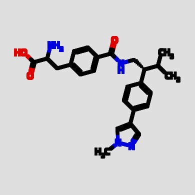 CC(C)[C@@H](CNC(=O)c1ccc(CC(N)C(=O)O)cc1)c1ccc(-c2cnn(C)c2)cc1